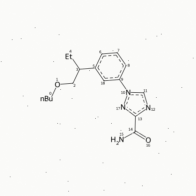 CCCCOCC(CC)c1cccc(-n2cnc(C(N)=O)n2)c1